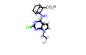 O=C(O)C1C2CCC(CC2)C1Nc1nc(Cl)nc2c1ccn2CCF